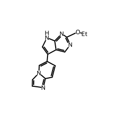 CCOc1ncc2c(-c3ccc4nccn4c3)c[nH]c2n1